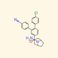 N#Cc1ccc(-c2cc(C(=O)N3C4CCC3CC(N)C4)ccc2-c2ccc(Cl)cc2)cc1